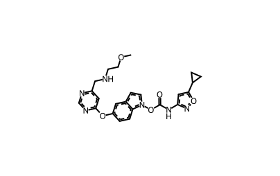 COCCNCc1cc(Oc2ccc3c(ccn3OC(=O)Nc3cc(C4CC4)on3)c2)ncn1